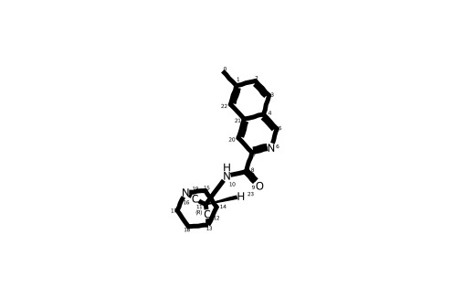 Cc1ccc2cnc(C(=O)N[C@@H]3CC4CCN(CC4)C3)cc2c1